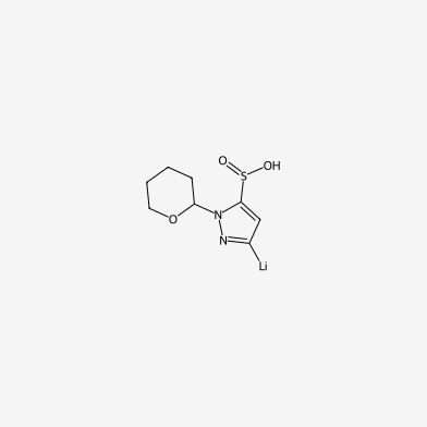 [Li][c]1cc(S(=O)O)n(C2CCCCO2)n1